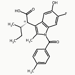 CCC(C)[C@H](C(=O)O)c1c(C)n(C(=O)c2ccc(C)cc2)c2cc(F)c(O)cc12